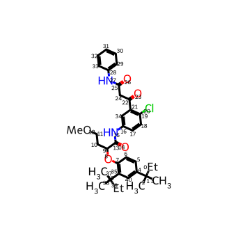 CCC(C)(C)c1ccc(OC(CCOC)C(=O)Nc2ccc(Cl)c(C(=O)CC(=O)Nc3ccccc3)c2)c(C(C)(C)CC)c1